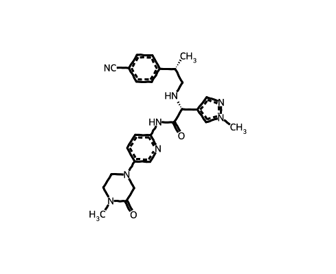 C[C@H](CN[C@@H](C(=O)Nc1ccc(N2CCN(C)C(=O)C2)cn1)c1cnn(C)c1)c1ccc(C#N)cc1